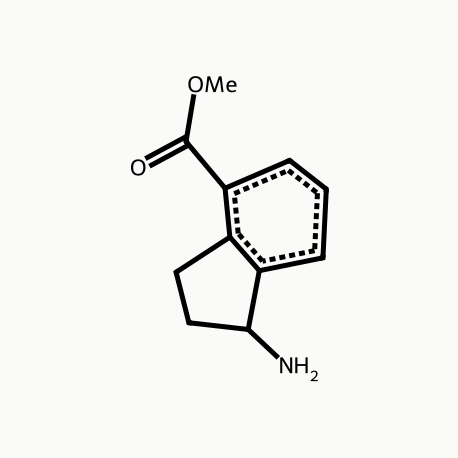 COC(=O)c1cccc2c1CCC2N